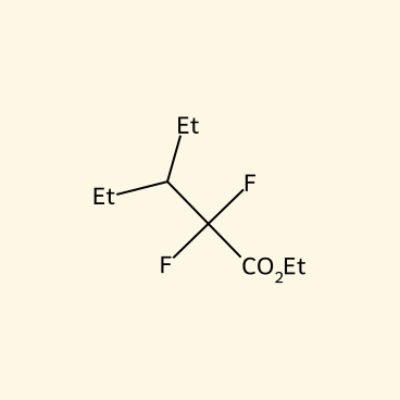 CCOC(=O)C(F)(F)C(CC)CC